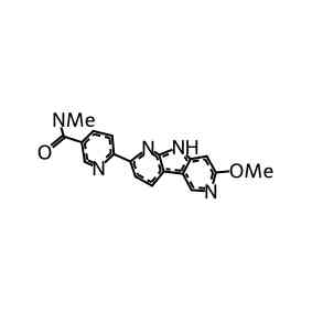 CNC(=O)c1ccc(-c2ccc3c(n2)[nH]c2cc(OC)ncc23)nc1